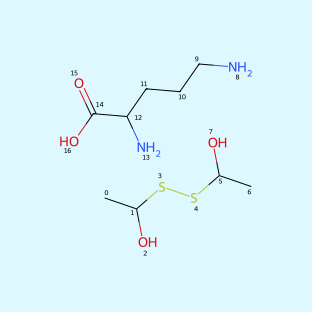 CC(O)SSC(C)O.NCCCC(N)C(=O)O